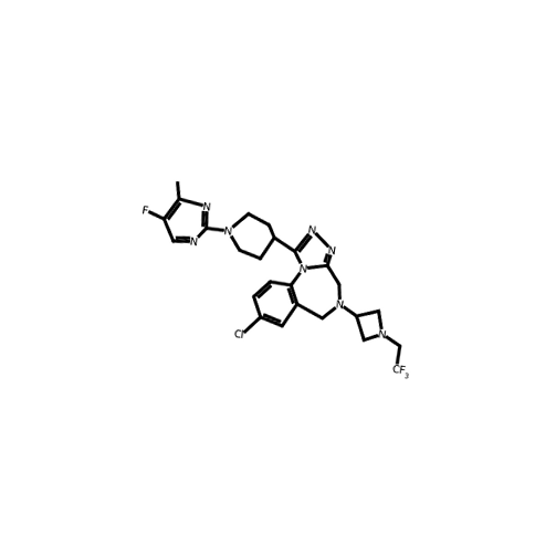 Cc1nc(N2CCC(c3nnc4n3-c3ccc(Cl)cc3CN(C3CN(CC(F)(F)F)C3)C4)CC2)ncc1F